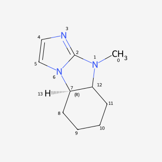 CN1c2nccn2[C@@H]2CCCCC21